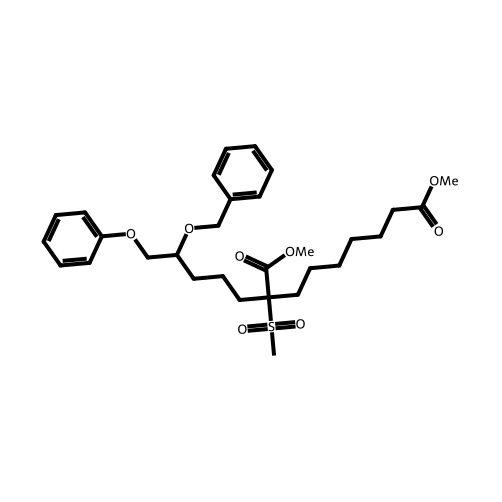 COC(=O)CCCCCCC(CCCC(COc1ccccc1)OCc1ccccc1)(C(=O)OC)S(C)(=O)=O